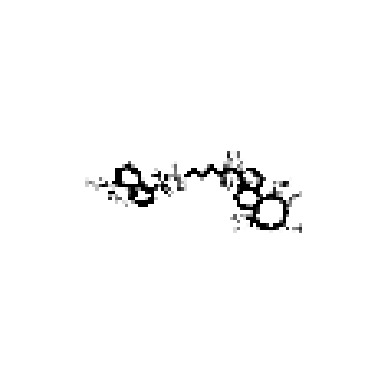 C[C@H](CCCCNNS(=O)(=O)c1cccc2c(N(C)C)cccc12)[C@H]1CCC2C3C(CC[C@@]21C)C(C)(C)CC[C@H](O)C[C@@H](O)[C@@H]3C=O